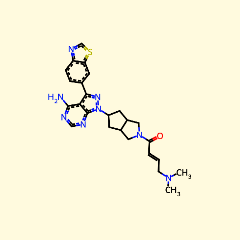 CN(C)C/C=C/C(=O)N1CC2CC(n3nc(-c4ccc5ncsc5c4)c4c(N)ncnc43)CC2C1